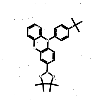 CC(C)(C)c1ccc(N2c3ccccc3Oc3cc(B4OC(C)(C)C(C)(C)O4)ccc32)cc1